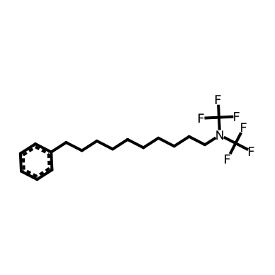 FC(F)(F)N(CCCCCCCCCCc1ccccc1)C(F)(F)F